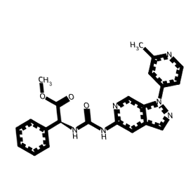 COC(=O)[C@@H](NC(=O)Nc1cc2cnn(-c3ccnc(C)c3)c2cn1)c1ccccc1